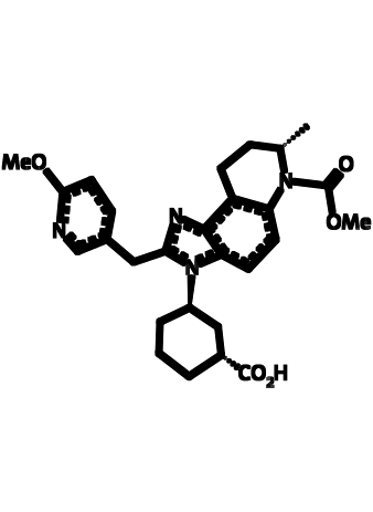 COC(=O)N1c2ccc3c(nc(Cc4ccc(OC)nc4)n3[C@@H]3CCC[C@@H](C(=O)O)C3)c2CC[C@@H]1C